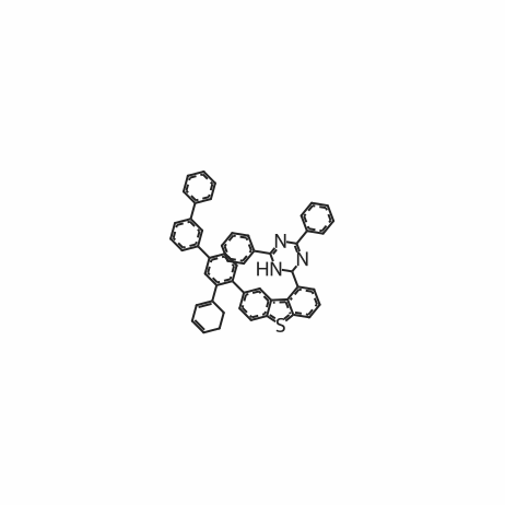 C1=CCCC(c2cc(-c3cccc(-c4ccccc4)c3)ccc2-c2ccc3sc4cccc(C5N=C(c6ccccc6)N=C(c6ccccc6)N5)c4c3c2)=C1